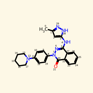 Cc1cc(Nc2nn(-c3ccc(N4CCCCC4)cc3)c(=O)c3ccccc23)[nH]n1